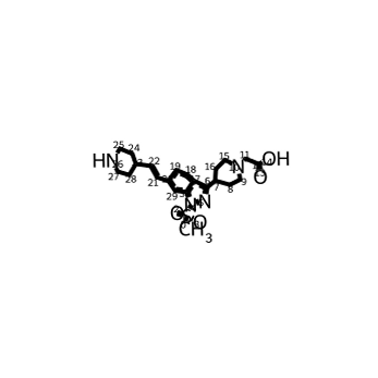 CS(=O)(=O)n1nc(C2CCN(CC(=O)O)CC2)c2ccc(C=CC3CCNCC3)cc21